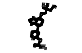 CC(C)CC(C)(N)COc1ccc(-c2ccnc(OC(N)=O)c2)c2scnc12